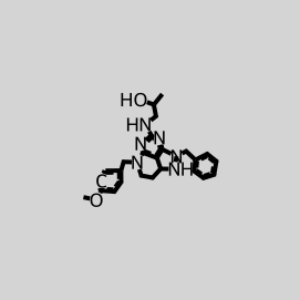 COc1ccc(CN2CCC3NN(Cc4ccccc4)c4nc(NCC(C)O)nc2c43)cc1